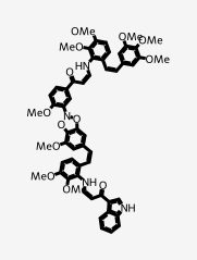 COc1ccc(C(=O)/C=C\Nc2c(/C=C\c3cc(OC)c(OC)c(OC)c3)ccc(OC)c2OC)cc1N1Oc2cc(/C=C\c3ccc(OC)c(OC)c3N/C=C\C(=O)c3c[nH]c4ccccc34)cc(OC)c2O1